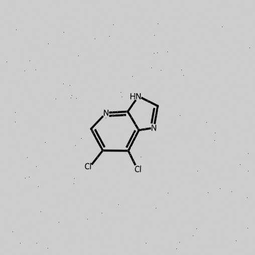 Clc1cnc2[nH]cnc2c1Cl